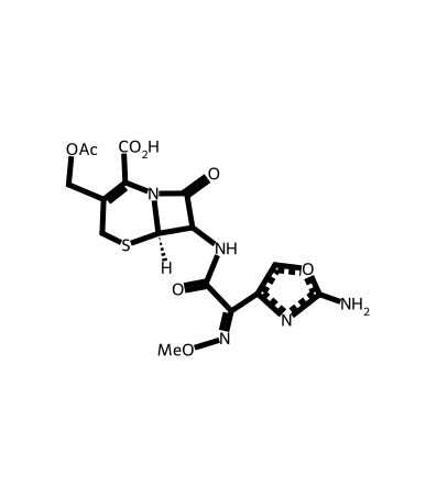 CO/N=C(\C(=O)NC1C(=O)N2C(C(=O)O)=C(COC(C)=O)CS[C@H]12)c1coc(N)n1